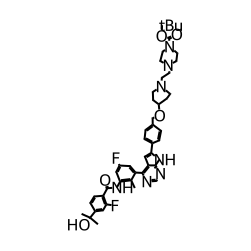 Cc1c(NC(=O)c2ccc(C(C)(C)O)cc2F)cc(F)cc1-c1ncnc2[nH]c(-c3ccc(COC4CCN(CCN5CCN(C(=O)OC(C)(C)C)CC5)CC4)cc3)cc12